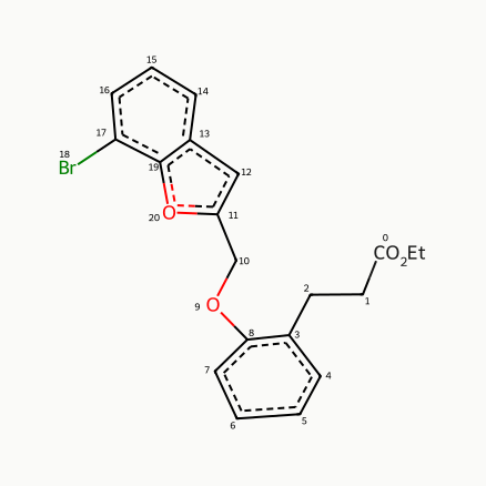 CCOC(=O)CCc1ccccc1OCc1cc2cccc(Br)c2o1